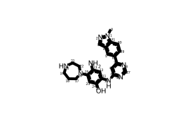 Cn1ncc2cc(-c3cc(Nc4cc(N)c(N5CCCNCC5)cc4O)ncn3)ccc21